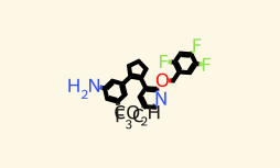 Nc1cc(C(=O)O)cc(C2=C(c3cc(C(F)(F)F)cnc3OCc3cc(F)c(F)cc3F)CCC2)c1